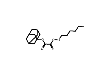 CCCCCCOOC(=O)C(=O)OC12CC3CC(CC(C3)C1)C2